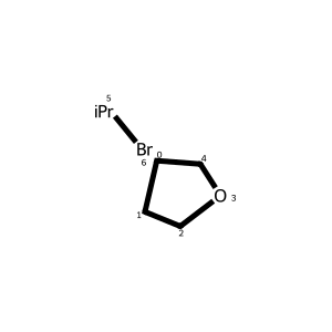 C1CCOC1.CC(C)Br